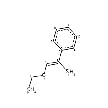 CCOC=C([SiH3])c1ccccc1